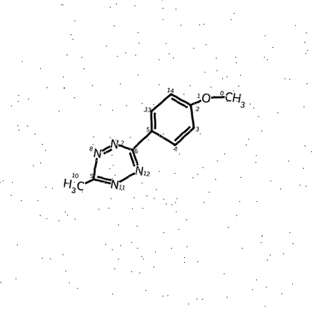 COc1ccc(-c2nnc(C)nn2)cc1